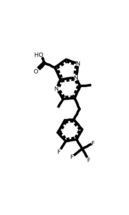 Cc1nc2c(C(=O)O)cnn2c(C)c1Cc1ccc(F)c(C(F)(F)F)c1